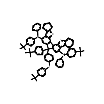 CC(C)(C)c1ccc(Sc2ccc(C3(c4ccc(C(C)(C)C)cc4)c4cc(N(c5ccccc5)c5ccc(C(C)(C)C)cc5)c5c(oc6ccccc65)c4-c4c3cc(N(c3ccccc3)c3ccc(C(C)(C)C)cc3)c3c4sc4ccccc43)cc2)cc1